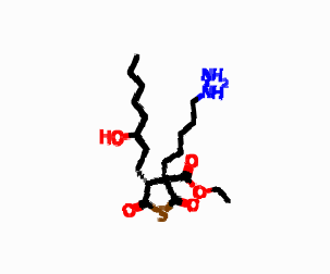 CCCCCC(O)CC[C@H]1C(=O)SC(=O)[C@@]1(CCCCCNN)C(=O)OCC